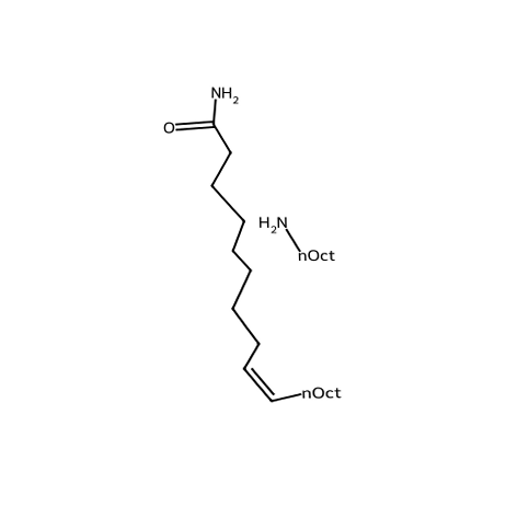 CCCCCCCC/C=C\CCCCCCCC(N)=O.CCCCCCCCN